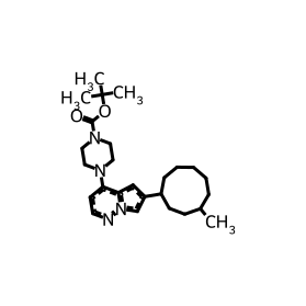 CC1CCCCCC(c2cc3c(N4CCN(C(=O)OC(C)(C)C)CC4)ccnn3c2)CC1